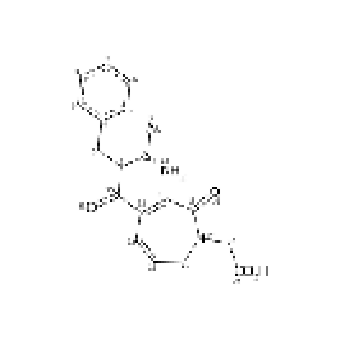 CC(=O)SC(Cc1ccccc1)C(=O)C1=C(N)C(=O)N(CC(=O)O)CC=C1